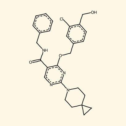 O=C(NCc1ccccc1)c1cnc(N2CCC3(CC2)CC3)nc1OCc1ccc(CO)c(Cl)c1